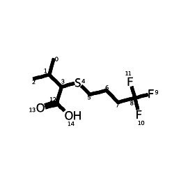 CC(C)C(SCCCC(F)(F)F)C(=O)O